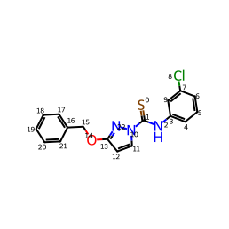 S=C(Nc1cccc(Cl)c1)n1ccc(OCc2ccccc2)n1